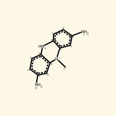 CN1c2cc(N)ccc2Nc2ccc(N)cc21